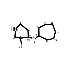 FC1CNCC[C@H]1OC1CCCCCC1